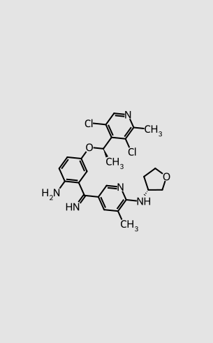 Cc1cc(C(=N)c2cc(O[C@H](C)c3c(Cl)cnc(C)c3Cl)ccc2N)cnc1N[C@@H]1CCOC1